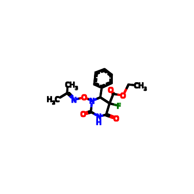 CCOC(=O)C1(F)C(=O)NC(=O)N(ON=C(C)C)C1c1ccccc1